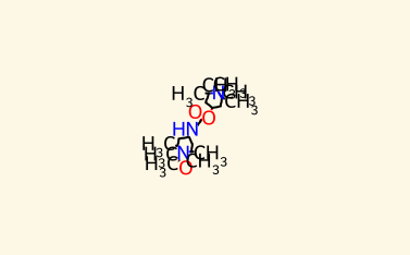 CC(=O)N1C(C)(C)CC(NCC(=O)OC2CC(C)(C)N(C)C(C)(C)C2)CC1(C)C